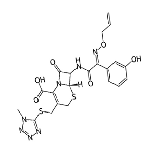 C=CCON=C(C(=O)NC1C(=O)N2C(C(=O)O)=C(CSc3nnnn3C)CS[C@@H]12)c1cccc(O)c1